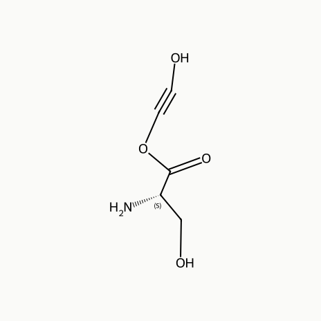 N[C@@H](CO)C(=O)OC#CO